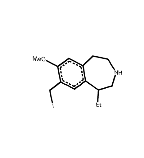 CCC1CNCCc2cc(OC)c(CI)cc21